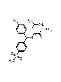 COC(=O)[C@@H](CC(C)C)N=C(c1ccc(Br)cc1)c1ccc(S(C)(=O)=O)cc1